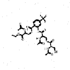 CCOC(=O)C(CSC(=O)c1ccc(C(F)(F)F)cc1OC(=O)C(CSC(=O)C(CS)NC(C)=O)NC(C)=O)NC(C)=O